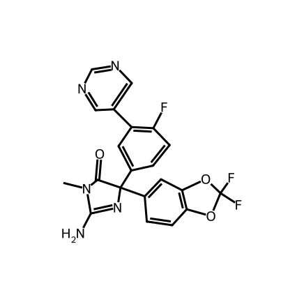 CN1C(=O)C(c2ccc3c(c2)OC(F)(F)O3)(c2ccc(F)c(-c3cncnc3)c2)N=C1N